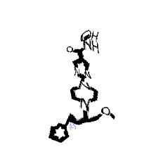 COCC(/C=C/c1ccccc1)N1CCN(c2ncc(C(=O)NO)cn2)CC1